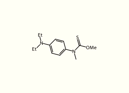 CCN(CC)c1ccc(N(C)C(=S)OC)cc1